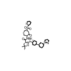 CC(C)(F)C[C@H](N[C@@H](c1ccc(-c2cccc(-n3cccn3)c2)cc1)C(F)(F)F)C(=O)NC1CCCN(S(=O)(=O)c2ccccn2)CC1=O